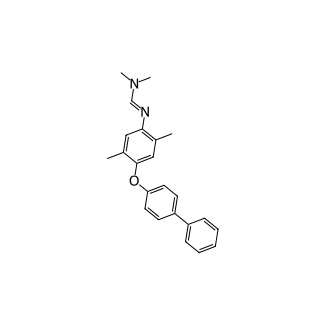 Cc1cc(Oc2ccc(-c3ccccc3)cc2)c(C)cc1N=CN(C)C